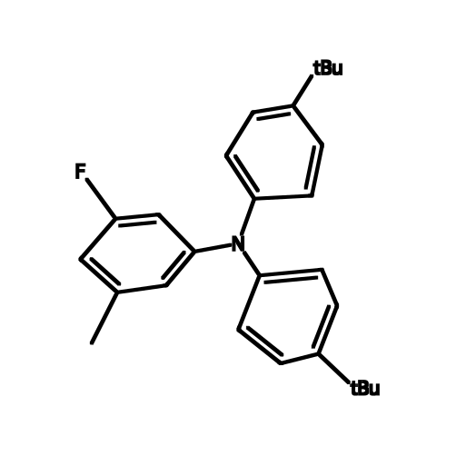 Cc1cc(F)cc(N(c2ccc(C(C)(C)C)cc2)c2ccc(C(C)(C)C)cc2)c1